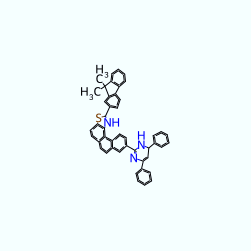 CC1(C)c2ccccc2-c2ccc(C3Nc4c(ccc5ccc6cc(C7=NC(c8ccccc8)=CC(c8ccccc8)N7)ccc6c45)S3)cc21